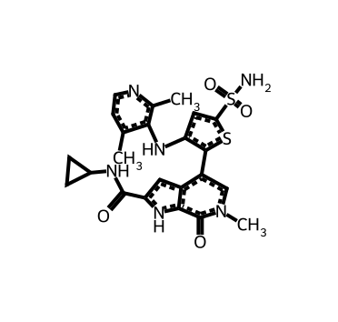 Cc1ccnc(C)c1Nc1cc(S(N)(=O)=O)sc1-c1cn(C)c(=O)c2[nH]c(C(=O)NC3CC3)cc12